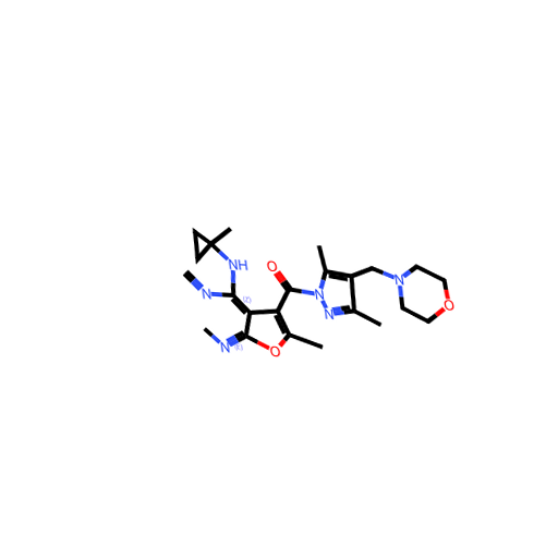 C=N/C(NC1(C)CC1)=C1/C(C(=O)n2nc(C)c(CN3CCOCC3)c2C)=C(C)O/C1=N/C